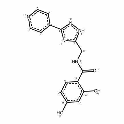 O=C(NCc1nc(-c2ccncc2)n[nH]1)c1ccc(O)cc1O